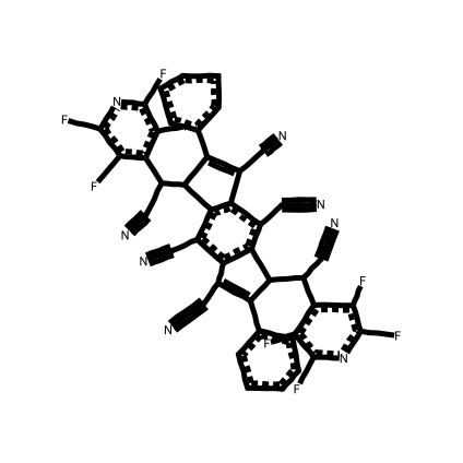 N#CC1=C(c2ccccc2)C(C(C#N)c2c(F)c(F)nc(F)c2F)c2c(C#N)c3c(c(C#N)c21)C(C(C#N)c1c(F)c(F)nc(F)c1F)C(c1ccccc1)=C3C#N